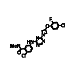 CNC(=O)c1cc(Nc2ncnc(N3CC(Oc4ccc(Cl)cc4F)C3)n2)ccc1Cl